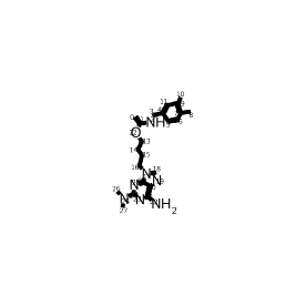 C=C(NCc1ccc(C)c(C)c1)OCCCCn1cnc2c(N)nc(N(C)C)nc21